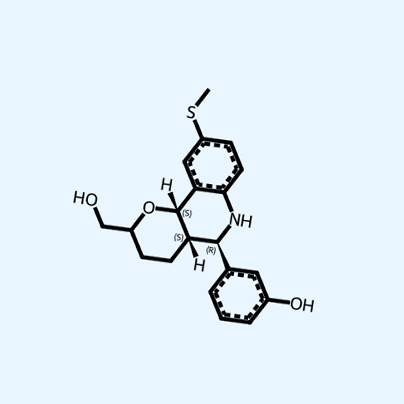 CSc1ccc2c(c1)[C@H]1OC(CO)CC[C@H]1[C@H](c1cccc(O)c1)N2